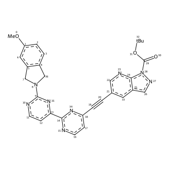 COc1ccc2c(c1)CN(c1nccc(-c3nccc(C#Cc4cnc5c(cnn5C(=O)OC(C)(C)C)c4)n3)n1)C2